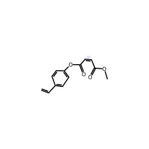 C=Cc1ccc(OC(=O)/C=C\C(=O)OC)cc1